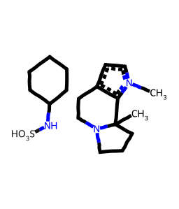 Cn1ccc2c1C1(C)CCCN1CC2.O=S(=O)(O)NC1CCCCC1